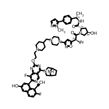 C#Cc1c(F)ccc2cc(O)cc(-c3ncc4c(N5CC6CCC(C5)N6)nc(OCCN5CCC(CN6CCN(c7cc([C@@H](C(=O)N8C[C@H](O)C[C@H]8C(=O)N[C@@H](C)c8ccc(-c9ccnn9C)cc8)C(C)C)on7)CC6)CC5)nc4c3F)c12